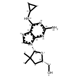 CC1(C)C[C@@H](CO)O[C@H]1n1cnc2c(NC3CC3)nc(N)nc21